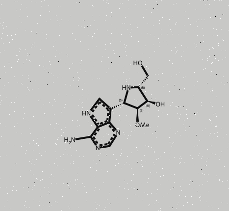 CO[C@@H]1[C@H](O)[C@@H](CO)N[C@H]1c1c[nH]c2c(N)ncnc12